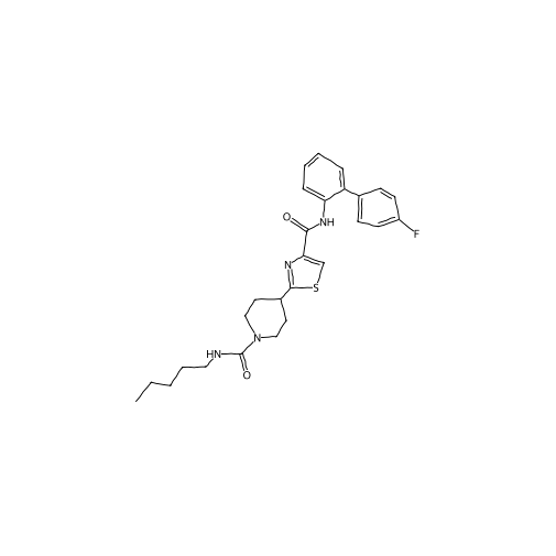 CCCCCNC(=O)N1CCC(c2nc(C(=O)Nc3ccccc3-c3ccc(F)cc3)cs2)CC1